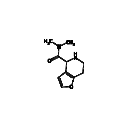 CN(C)C(=O)C1NCCc2occc21